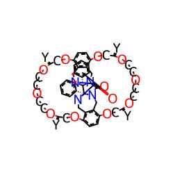 O=C1N2Cc3c4ccc5c3CN3C(=O)N6Cc7c(ccc(c7CN1[C@]6(c1ccccc1)[C@]23c1ccccc1)OC[C](=[Y])OCCOCCO[C](=[Y])CO4)OC[C](=[Y])OCCOCCO[C](=[Y])CO5